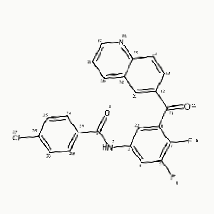 O=C(Nc1cc(F)c(F)c(C(=O)c2ccc3ncccc3c2)c1)c1ccc(Cl)cc1